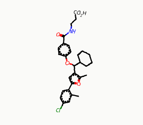 Cc1cc(Cl)ccc1-c1cc(C(Oc2ccc(C(=O)NCCC(=O)O)cc2)C2CCCCC2)c(C)o1